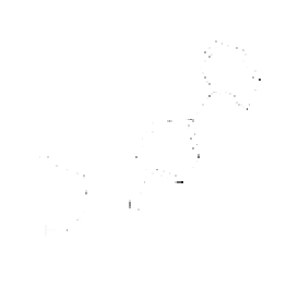 CC(CO)Oc1ccc(-c2ccccc2)cc1